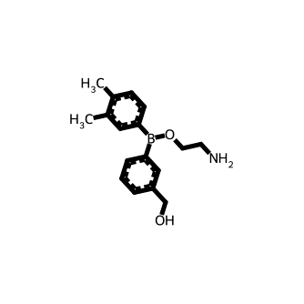 Cc1ccc(B(OCCN)c2cccc(CO)c2)cc1C